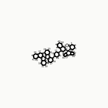 c1ccc2c(c1)Oc1c(cc(-c3ccc(-c4cccc5c4-c4ccccc4C54c5ccccc5-c5c4ccc4ccccc54)cc3)c3ccccc13)C21c2ccccc2-c2ccccc21